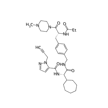 C#CCn1nccc1C(=O)N[C@H](C(=O)NCc1ccc(C[C@@H](NC(=O)CC)C(=O)N2CCN(C)CC2)cc1)C1CCCCCC1